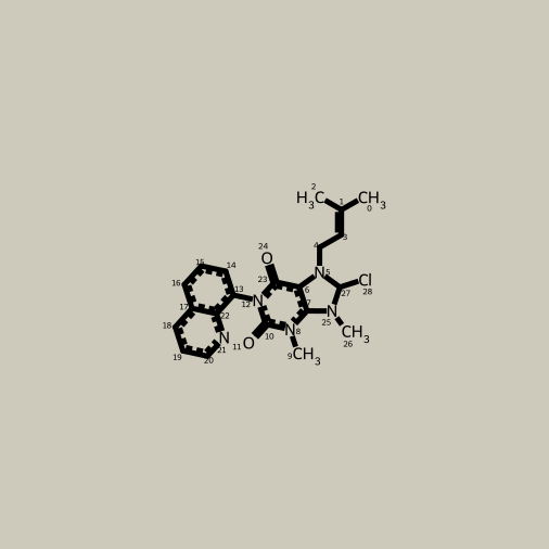 CC(C)=CCN1c2c(n(C)c(=O)n(-c3cccc4cccnc34)c2=O)N(C)C1Cl